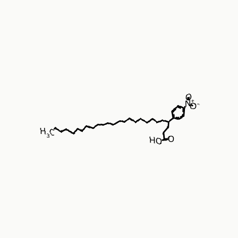 CCCCCCCCCCCCCCCCCCCCCCC(CCC(=O)O)c1ccc([N+](=O)[O-])cc1